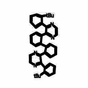 CC(C)(C)c1ccccc1-c1nccnc1-c1ccccc1-c1ccccc1-c1nccnc1-c1ccccc1C(C)(C)C